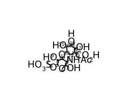 CC(=O)NC1C(O)OC(OS(=O)(=O)O)C(O)C1OC1CC(C(=O)O)C(O)C(O)C1O